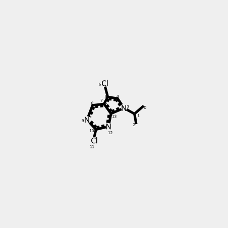 CC(C)n1cc(Cl)c2cnc(Cl)nc21